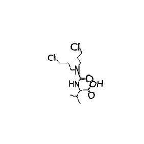 CC(C)C(NC(=O)N(CCCCl)CCCCl)C(=O)O